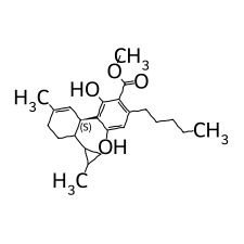 CCCCCc1cc(O)c([C@@H]2C=C(C)CCC2C2CC2C)c(O)c1C(=O)OC